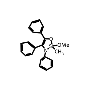 CO[Si]1(C)OC(c2ccccc2)=C(c2ccccc2)N1c1ccccc1